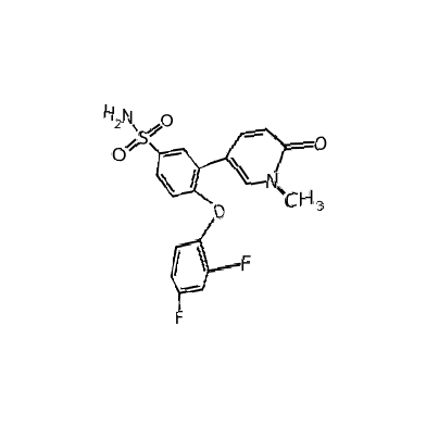 Cn1cc(-c2cc(S(N)(=O)=O)ccc2Oc2ccc(F)cc2F)ccc1=O